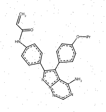 C=CC(=O)Nc1ccc(-c2nn3ncnc(N)c3c2-c2ccc(OC(C)C)cc2)cc1